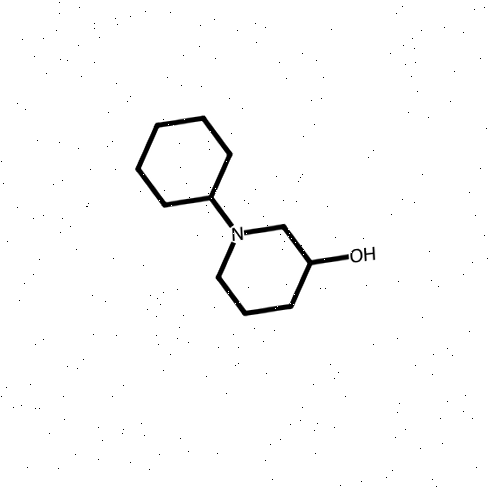 OC1CCCN(C2CCCCC2)C1